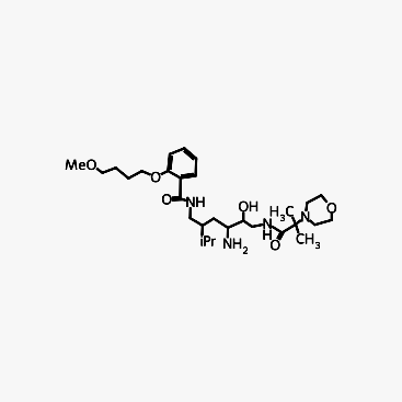 COCCCCOc1ccccc1C(=O)NCC(CC(N)C(O)CNC(=O)C(C)(C)N1CCOCC1)C(C)C